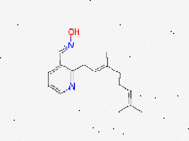 CC(C)=CCC/C(C)=C/Cc1ncccc1C=NO